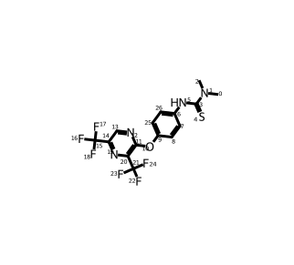 CN(C)C(=S)Nc1ccc(Oc2ncc(C(F)(F)F)nc2C(F)(F)F)cc1